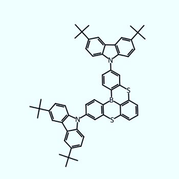 CC(C)(C)c1ccc2c(c1)c1cc(C(C)(C)C)ccc1n2-c1ccc2c(c1)Sc1cccc3c1B2c1ccc(-n2c4ccc(C(C)(C)C)cc4c4cc(C(C)(C)C)ccc42)cc1S3